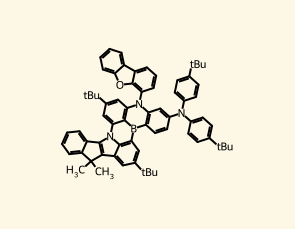 CC(C)(C)c1ccc(N(c2ccc(C(C)(C)C)cc2)c2ccc3c(c2)N(c2cccc4c2oc2ccccc24)c2cc(C(C)(C)C)cc4c2B3c2cc(C(C)(C)C)cc3c5c(n-4c23)-c2ccccc2C5(C)C)cc1